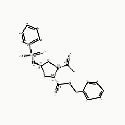 O=C(OCc1ccccc1)[C@@H]1C[C@@H](NS(=O)(=O)c2ccccc2)CN1C(=O)Cl